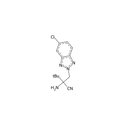 CC(C)(C)C(N)(C#N)Cn1nc2ccc(Cl)cc2n1